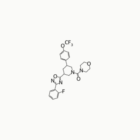 O=C(N1CCOCC1)N1CC(c2ccc(OC(F)(F)F)cc2)CC(c2nc(-c3ccccc3F)no2)C1